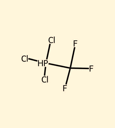 FC(F)(F)[PH](Cl)(Cl)Cl